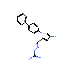 N=C(N)NN=Cc1cc(Cl)cn1-c1ccc(-c2ccccc2)cc1